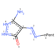 CCCCC/N=N/c1c(N)[nH][nH]c1=O